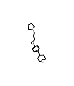 c1cc(C2CCOCC2)ccc1OCCCN1CCCC1